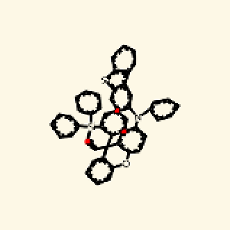 c1ccc(N(c2ccc3c(c2)C2(c4ccccc4O3)c3ccccc3[Si](c3ccccc3)(c3ccccc3)c3ccccc32)c2ccc3sc4ccccc4c3c2)cc1